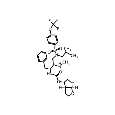 CN[C@H](CN(CC(C)C)S(=O)(=O)c1ccc(OC(F)(F)F)cc1)[C@H](Cc1ccccc1)NC(=O)O[C@H]1CO[C@H]2OCC[C@H]21